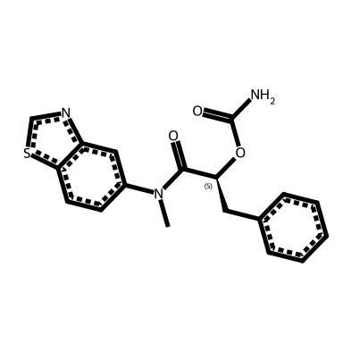 CN(C(=O)[C@H](Cc1ccccc1)OC(N)=O)c1ccc2scnc2c1